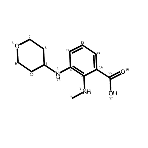 CNc1c(NC2CCOCC2)cccc1C(=O)O